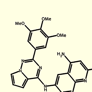 COc1cc(-c2nc(Nc3ccc4nc(C)cc(N)c4c3)c3cccn3n2)cc(OC)c1OC